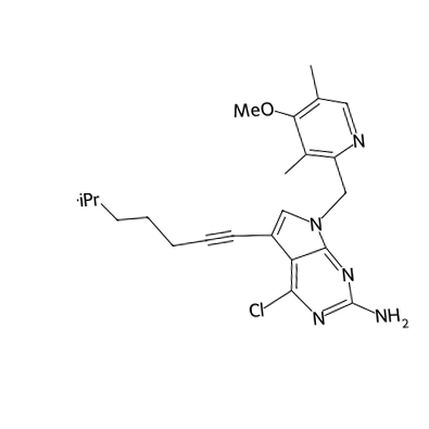 COc1c(C)cnc(Cn2cc(C#CCCC[C](C)C)c3c(Cl)nc(N)nc32)c1C